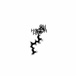 CC(C)=CCCC(C)=CCCC(C)=CCNP(=O)(O)CP(=O)(O)O